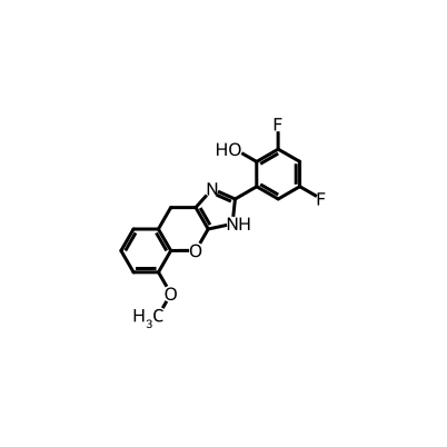 COc1cccc2c1Oc1[nH]c(-c3cc(F)cc(F)c3O)nc1C2